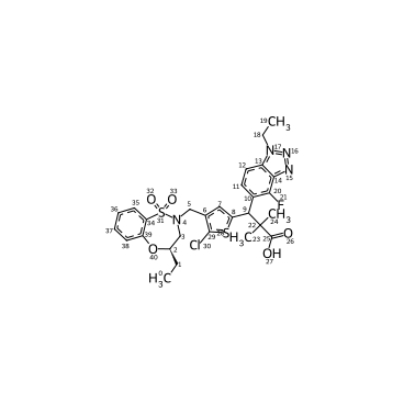 CC[C@@H]1CN(Cc2cc(C(c3ccc4c(nnn4CC)c3F)C(C)(C)C(=O)O)sc2Cl)S(=O)(=O)c2ccccc2O1